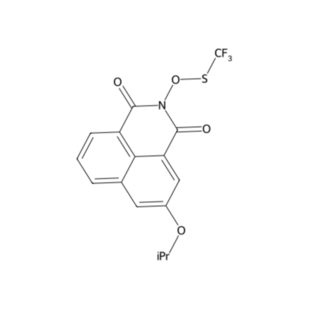 CC(C)Oc1cc2c3c(cccc3c1)C(=O)N(OSC(F)(F)F)C2=O